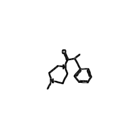 CC(C(=O)N1CCN(C)CC1)c1ccccc1